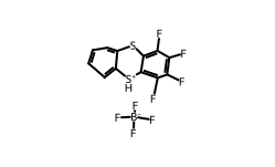 F[B-](F)(F)F.Fc1c(F)c(F)c2c(c1F)Sc1ccccc1[SH+]2